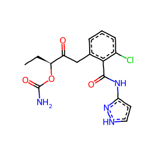 CC[C@H](OC(N)=O)C(=O)Cc1cccc(Cl)c1C(=O)Nc1cc[nH]n1